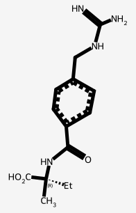 CC[C@@](C)(NC(=O)c1ccc(CNC(=N)N)cc1)C(=O)O